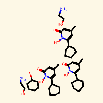 Cc1cc(C2CCCCC2)n(O)c(=O)c1.Cc1cc(C2CCCCC2)n(O)c(=O)c1.Cc1cc(C2CCCCC2)n(O)c(=O)c1.NCCO.NCCO.[O]C1CCCCC1